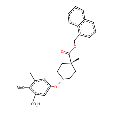 COc1c(C)cc(O[C@H]2CC[C@@](C)(C(=O)OCc3cccc4ccccc34)CC2)cc1C(=O)O